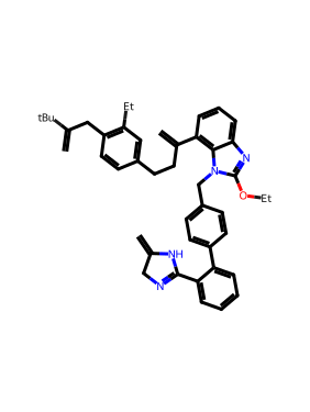 C=C1CN=C(c2ccccc2-c2ccc(Cn3c(OCC)nc4cccc(C(=C)CCc5ccc(CC(=C)C(C)(C)C)c(CC)c5)c43)cc2)N1